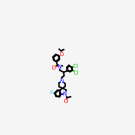 CC(=O)N1CC2(CCN(CCC(CN(C)C(=O)c3cccc(OC(C)C)c3)c3ccc(Cl)c(Cl)c3)CC2)c2cc(F)ccc21